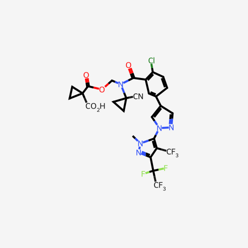 Cn1nc(C(F)(F)C(F)(F)F)c(C(F)(F)F)c1-n1cc(-c2ccc(Cl)c(C(=O)N(COC(=O)C3(C(=O)O)CC3)C3(C#N)CC3)c2)cn1